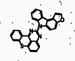 c1ccc2c(c1)Sc1cccc3nc(-n4c5ccccc5c5c6ccoc6ccc54)nc-2c13